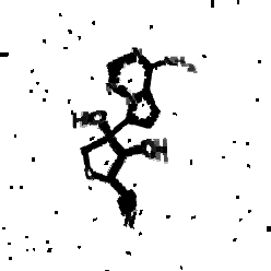 N#CC1OCC(O)(c2ccc3c(N)ncnn23)C1O